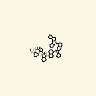 CC1(C)c2ccccc2-c2c(-c3nc(-c4cccc5c(-n6c7ccccc7c7cc8cccc(-n9c%10ccccc%10c%10c%11ccccc%11ccc%109)c8cc76)cccc45)c4ccccc4n3)cccc21